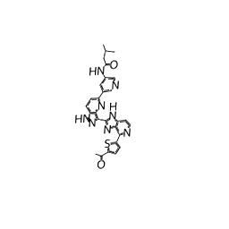 CC(=O)c1ccc(-c2nccc3[nH]c(-c4n[nH]c5ccc(-c6cncc(NC(=O)CC(C)C)c6)nc45)nc23)s1